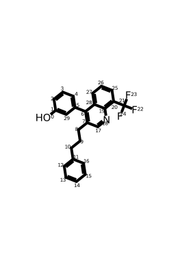 Oc1cccc(-c2c(CCCc3ccccc3)cnc3c(C(F)(F)F)cccc23)c1